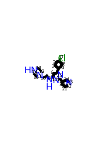 Clc1ccc(-c2cc(NCCN3CCNCC3)nc(-c3cccnc3)n2)cc1